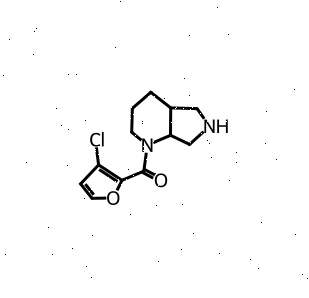 O=C(c1occc1Cl)N1CCCC2CNCC21